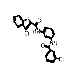 O=C(Nc1cccc(NC(=O)c2sc3ccccc3c2Cl)c1)c1cccc(Cl)c1